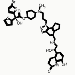 CN(CCCn1nnc2cc(CNC[C@H](O)c3ccc(O)c4[nH]c(=O)ccc34)c3c(c21)CCC3)[C@H]1CC[C@H](OC(=O)[C@](O)(c2cccs2)c2ccc(Br)s2)CC1